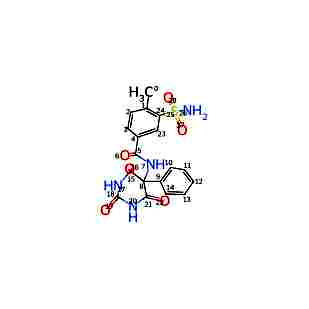 Cc1ccc(C(=O)NC2(c3ccccc3)C(=O)NC(=O)NC2=O)cc1S(N)(=O)=O